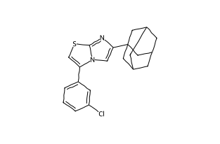 Clc1cccc(-c2csc3nc(C45CC6CC(CC(C6)C4)C5)cn23)c1